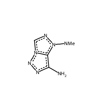 CNn1ncn2nnc(N)c12